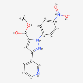 COC(=O)c1cc(-c2cccnc2)nn1-c1ccc([N+](=O)[O-])cc1